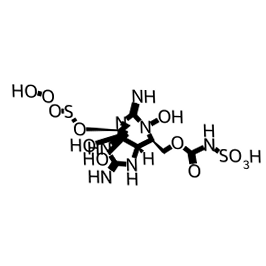 N=C1N[C@H]2[C@H](COC(=O)NS(=O)(=O)O)N(O)C(=N)N3C[C@H](OSOOO)C(O)(O)C23N1